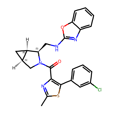 Cc1nc(C(=O)N2C[C@H]3C[C@H]3[C@H]2CNc2nc3ccccc3o2)c(-c2cccc(Cl)c2)s1